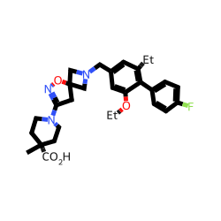 CCOc1cc(CN2CC3(CC(N4CCC(C)(C(=O)O)CC4)=NO3)C2)cc(CC)c1-c1ccc(F)cc1